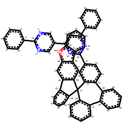 c1ccc(-c2cc(-c3cnc(-c4ccccc4)nc3)nc(-c3ccc4c(c3)C3(c5ccccc5-c5ccccc5-4)c4ccccc4-c4cc5oc6ccccc6c5cc43)n2)cc1